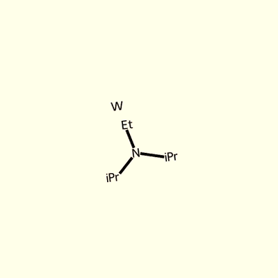 [CH2]CN(C(C)C)C(C)C.[W]